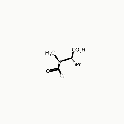 CC(C)[C@@H](C(=O)O)N(C)C(=O)Cl